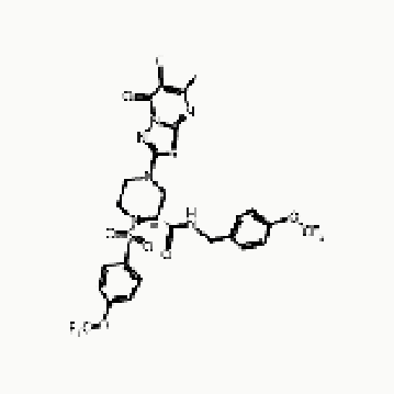 Cc1nc2sc(N3CCN(S(=O)(=O)c4ccc(OC(F)(F)F)cc4)[C@@H](C(=O)NCc4ccc(OC(F)(F)F)cc4)C3)nn2c(=O)c1Cl